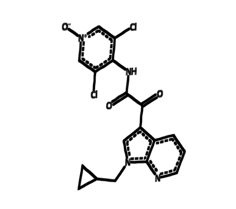 O=C(Nc1c(Cl)c[n+]([O-])cc1Cl)C(=O)c1cn(CC2CC2)c2ncccc12